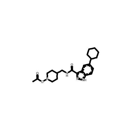 CC(=O)ON1CCC(CNC(=O)c2n[nH]c3ccc(C4CCCCC4)cc23)CC1